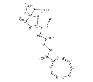 CC(C)C[C@H](NC(=O)CNC(=O)c1ccccccccc1)B1OC(=O)C(CC(=O)O)(CC(=O)O)O1